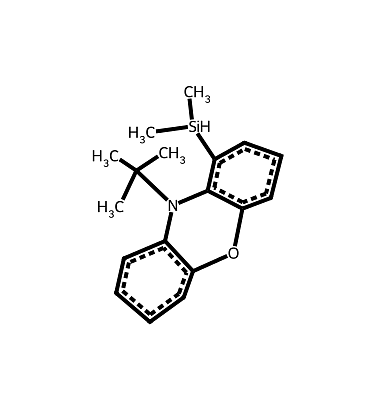 C[SiH](C)c1cccc2c1N(C(C)(C)C)c1ccccc1O2